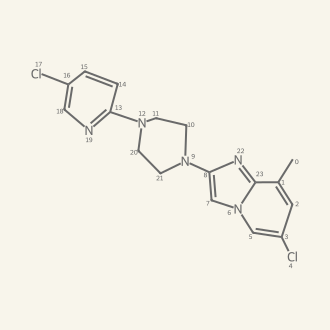 Cc1cc(Cl)cn2cc(N3CCN(c4ccc(Cl)cn4)CC3)nc12